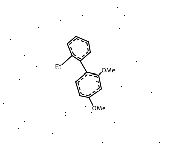 CCc1ccccc1-c1ccc(OC)cc1OC